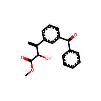 C=C(c1cccc(C(=O)c2ccccc2)c1)C(O)C(=O)OC